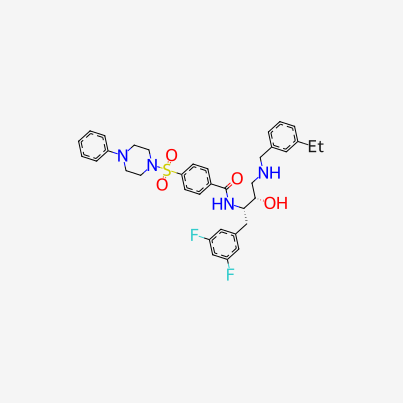 CCc1cccc(CNC[C@H](O)[C@H](Cc2cc(F)cc(F)c2)NC(=O)c2ccc(S(=O)(=O)N3CCN(c4ccccc4)CC3)cc2)c1